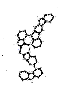 C=c1/c(=C\c2oc3cc(-c4cccc5oc6ccccc6c45)ccc3c2C)oc2cccc(-n3c4ccccc4c4cc5c(cc43)oc3ccccc35)c12